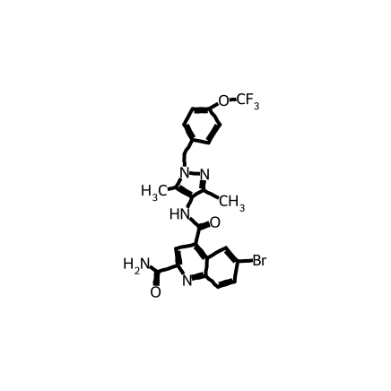 Cc1nn(Cc2ccc(OC(F)(F)F)cc2)c(C)c1NC(=O)c1cc(C(N)=O)nc2ccc(Br)cc12